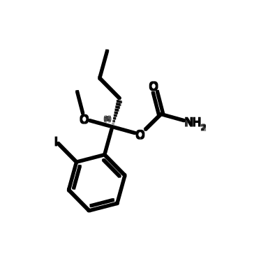 CCC[C@](OC)(OC(N)=O)c1ccccc1I